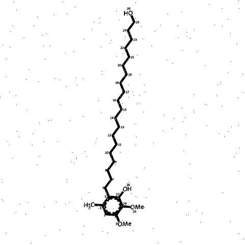 COc1cc(C)c(CCCCCCCCCCCCCCCCCCCCO)c(O)c1OC